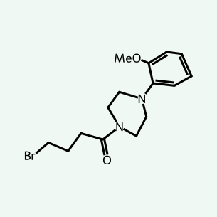 COc1ccccc1N1CCN(C(=O)CCCBr)CC1